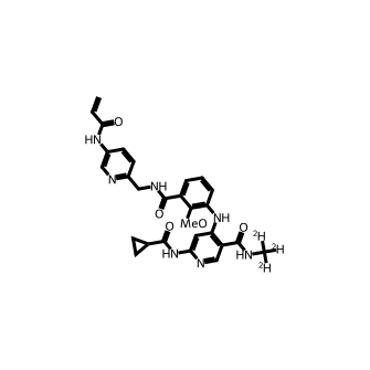 [2H]C([2H])([2H])NC(=O)c1cnc(NC(=O)C2CC2)cc1Nc1cccc(C(=O)NCc2ccc(NC(=O)C=C)cn2)c1OC